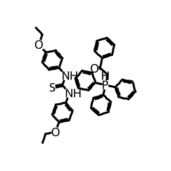 CCOc1ccc(NC(=S)Nc2ccc(OCC)cc2)cc1.O=C(C[PH](c1ccccc1)(c1ccccc1)c1ccccc1)c1ccccc1